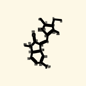 CCc1c(C)[nH]c(/C=C2\C(=O)N(C)c3ccc(F)cc32)c1C